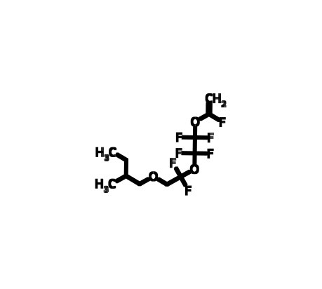 C=C(F)OC(F)(F)C(F)(F)OC(F)(F)COCC(C)CC